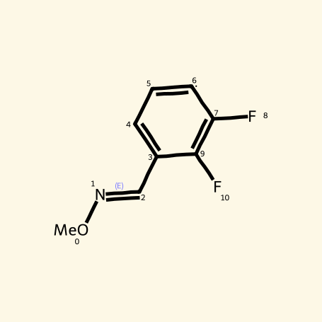 CO/N=C/c1cc[c]c(F)c1F